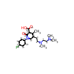 Cc1c(CCN(C)CCN(C)C)cn(-c2ccc(F)cc2)c(=O)c1C(=O)O